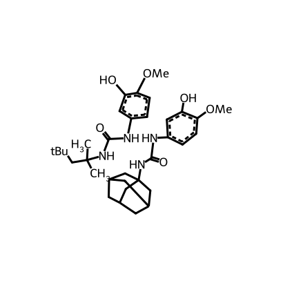 COc1ccc(NC(=O)NC(C)(C)CC(C)(C)C)cc1O.COc1ccc(NC(=O)NC23CC4CC(CC(C4)C2)C3)cc1O